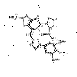 COc1cc(-n2cnc(Nc3nc(N4CCCC4C(N)=O)nc4c3CN(C(=O)O)C4)c2)cc(OC)c1OC